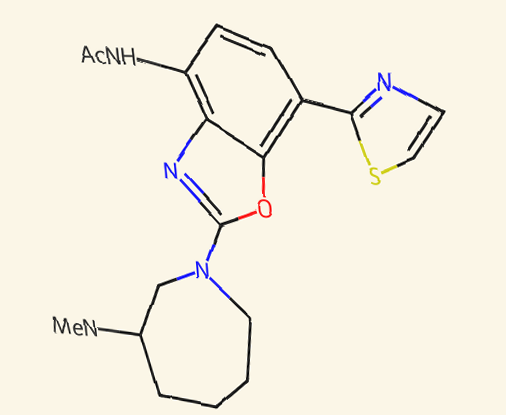 CNC1CCCCN(c2nc3c(NC(C)=O)ccc(-c4nccs4)c3o2)C1